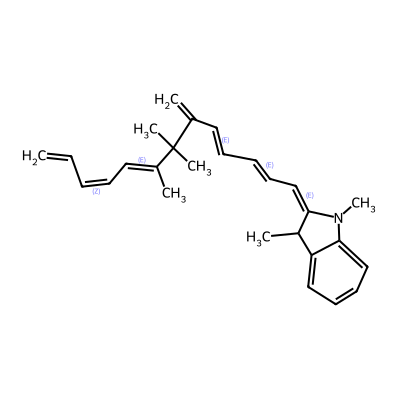 C=C/C=C\C=C(/C)C(C)(C)C(=C)/C=C/C=C/C=C1\C(C)c2ccccc2N1C